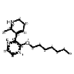 CCCCCCCOc1nccnc1C1=CCCNC1C